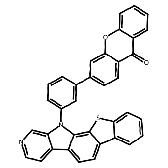 O=c1c2ccccc2oc2cc(-c3cccc(-n4c5cnccc5c5ccc6c7ccccc7sc6c54)c3)ccc12